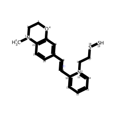 CN1CCOc2cc(/C=C/c3cccc[n+]3CCSS)ccc21